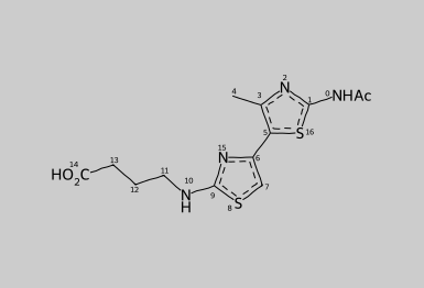 CC(=O)Nc1nc(C)c(-c2csc(NCCCC(=O)O)n2)s1